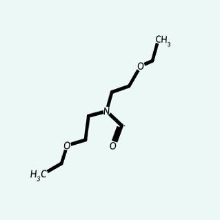 CCOCCN([C]=O)CCOCC